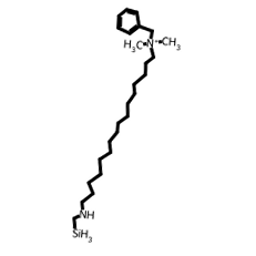 C[N+](C)(CCCCCCCCCCCCCCCCNC[SiH3])Cc1ccccc1